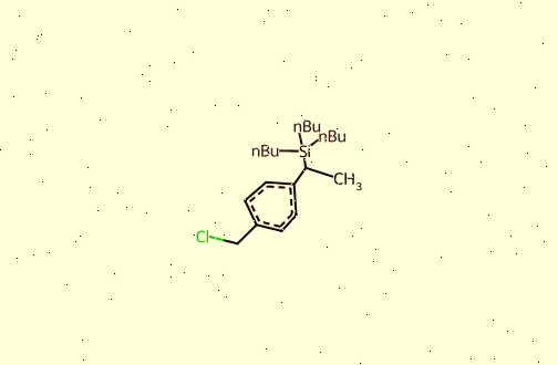 CCCC[Si](CCCC)(CCCC)C(C)c1ccc(CCl)cc1